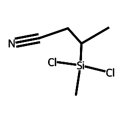 CC(CC#N)[Si](C)(Cl)Cl